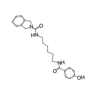 O=C(NCCCCCCNC(=O)N1Cc2ccccc2C1)c1ccc(O)cc1